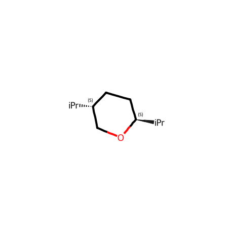 CC(C)[C@@H]1CC[C@@H](C(C)C)OC1